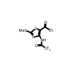 CCC(=O)c1sc(SC)nc1NC(=O)C(F)(F)F